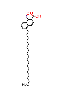 CCCCCCCCCCCCCCCCCCc1cccc2c(I=O)c(C(=O)O)ccc12